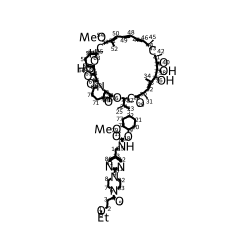 CCOCCC(=O)N1CCN(c2ncc(CNC(=O)O[C@@H]3CC[C@@H](C[C@@H](C)[C@@H]4CC(=O)[C@H](C)/C=C(\C)[C@@H](O)[C@@H](O)C(=O)[C@H](C)C[C@H](C)/C=C/C=C/C=C(\C)[C@@H](OC)C[C@@H]5CC[C@@H](C)[C@@](O)(O5)C(=O)C(=O)N5CCCC[C@H]5C(=O)O4)C[C@H]3OC)cn2)CC1